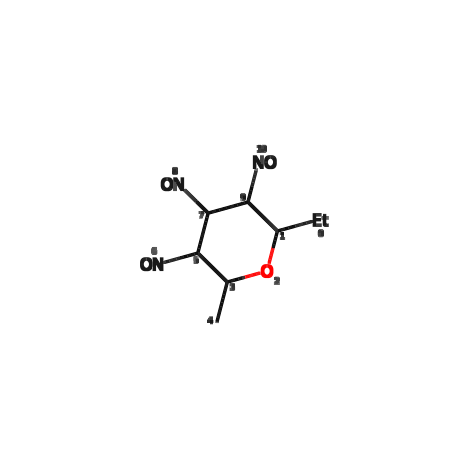 CCC1OC(C)C(N=O)C(N=O)C1N=O